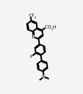 CN(C)c1ccc(-c2ccc(-c3cc(C(=O)O)c4cc(C(F)(F)F)ccc4n3)cc2F)cc1